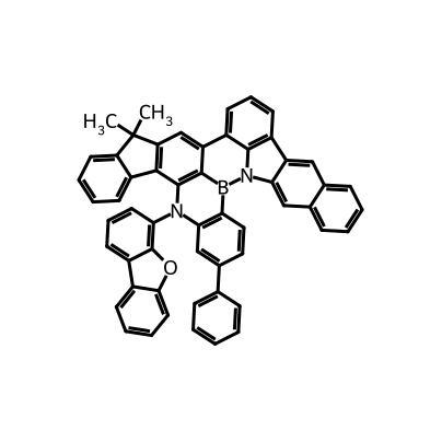 CC1(C)c2ccccc2-c2c1cc1c3c2N(c2cccc4c2oc2ccccc24)c2cc(-c4ccccc4)ccc2B3n2c3cc4ccccc4cc3c3cccc-1c32